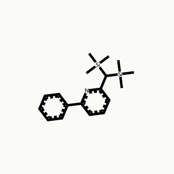 C[Si](C)(C)C(c1cccc(-c2ccccc2)n1)[Si](C)(C)C